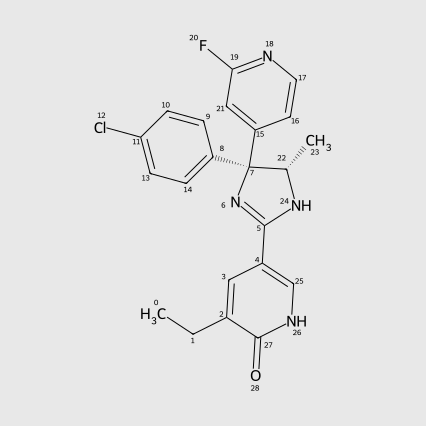 CCc1cc(C2=N[C@@](c3ccc(Cl)cc3)(c3ccnc(F)c3)[C@H](C)N2)c[nH]c1=O